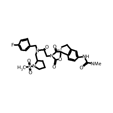 CNC(=O)Nc1ccc2c(c1)CC[C@@]21OC(=O)N(CC(=O)N(Cc2ccc(F)cc2)CC2CCCN2S(C)(=O)=O)C1=O